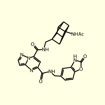 CC(=O)NC12C3C4C1C1C2C3C41CNC(=O)c1cc(C(=O)NCc2ccc3oc(=O)[nH]c3c2)nc2ccnn12